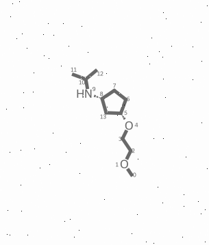 COCCO[C@H]1CC[C@@H](NC(C)C)C1